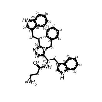 NCCC(=O)N[C@H](Cc1c[nH]c2ccccc12)c1nnc(CCc2c[nH]c3ccccc23)n1Cc1ccccc1